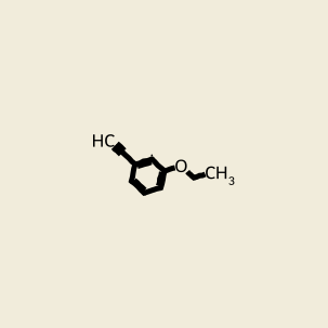 C#Cc1[c]c(OCC)ccc1